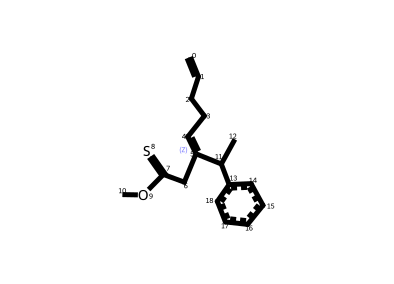 C=CCC/C=C(/CC(=S)OC)C(C)c1ccccc1